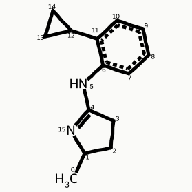 CC1CCC(Nc2ccccc2C2CC2)=N1